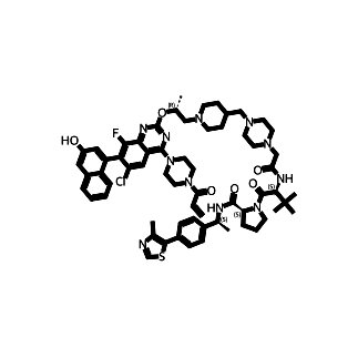 C=CC(=O)N1CCN(c2nc(O[C@H](C)CN3CCC(CN4CCN(CC(=O)N[C@H](C(=O)N5CCC[C@H]5C(=O)N[C@@H](C)c5ccc(-c6scnc6C)cc5)C(C)(C)C)CC4)CC3)nc3c(F)c(-c4cc(O)cc5ccccc45)c(Cl)cc23)CC1